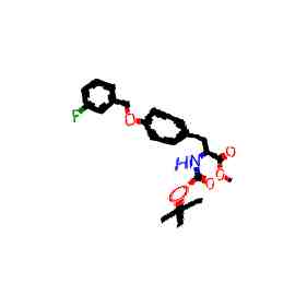 COC(=O)C(Cc1ccc(OCc2cccc(F)c2)cc1)NC(=O)OC(C)(C)C